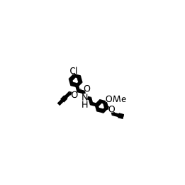 C#CCOc1ccc(CCNC(=O)[C@@H](OCC#CC)c2ccc(Cl)cc2)cc1OC